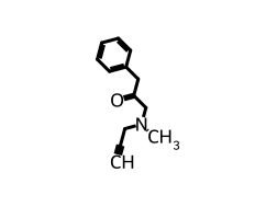 C#CCN(C)CC(=O)Cc1ccccc1